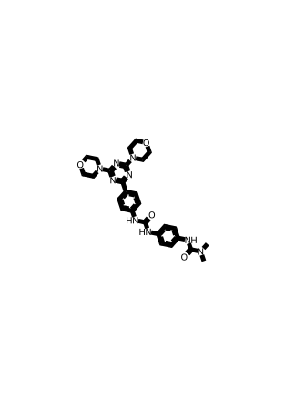 CN(C)C(=O)Nc1ccc(NC(=O)Nc2ccc(-c3nc(N4CCOCC4)nc(N4CCOCC4)n3)cc2)cc1